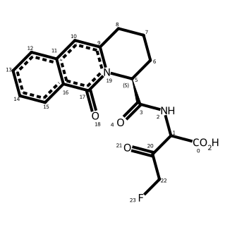 O=C(O)C(NC(=O)[C@@H]1CCCc2cc3ccccc3c(=O)n21)C(=O)CF